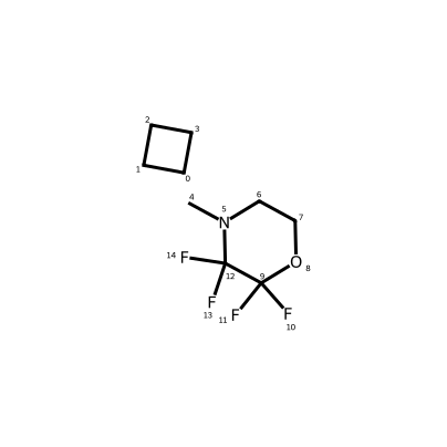 C1CCC1.CN1CCOC(F)(F)C1(F)F